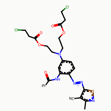 Cc1nsc(/N=N/c2ccc(N(CCOC(=O)CCCl)CCOC(=O)CCCl)cc2NC(=O)C(C)C)c1C#N